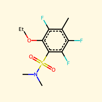 CCOc1c(F)c(C)c(F)c(F)c1S(=O)(=O)N(C)C